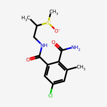 Cc1cc(Cl)cc(C(=O)NCC(C)[S+](C)[O-])c1C(N)=O